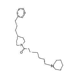 O=C(CCCCCCN1CCCCC1)N1CCC(CCCc2ccccc2)CC1